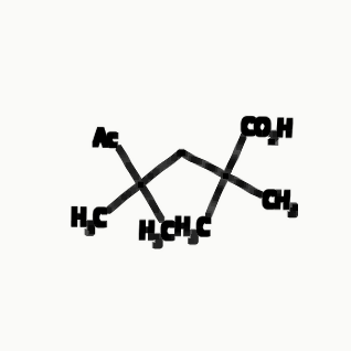 CC(=O)C(C)(C)CC(C)(C)C(=O)O